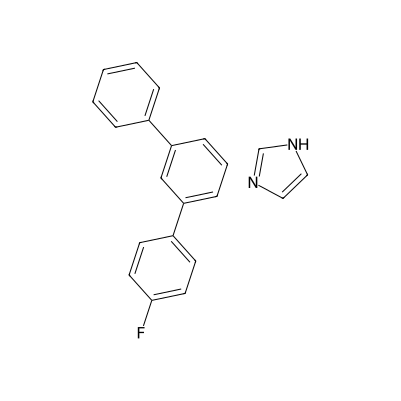 Fc1ccc(-c2cccc(-c3ccccc3)c2)cc1.c1c[nH]cn1